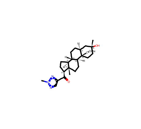 COC[C@]12CC[C@@](C)(O)C[C@@H]1CC[C@H]1[C@@H]3CC[C@H](C(=O)c4cnn(C)n4)[C@@]3(C)CC[C@@H]12